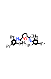 C/C(=N\c1c(C(C)C)cc(C(C)C)cc1C(C)C)C1CCCC(/C(C)=N/c2c(C(C)C)cc(C(C)C)cc2C(C)C)O1